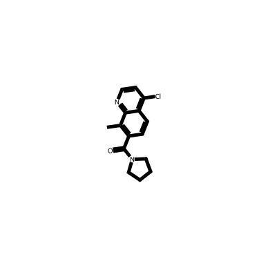 Cc1c(C(=O)N2CCCC2)ccc2c(Cl)ccnc12